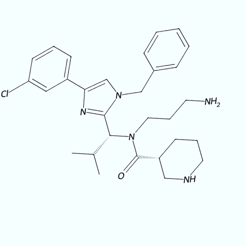 CC(C)[C@H](c1nc(-c2cccc(Cl)c2)cn1Cc1ccccc1)N(CCCN)C(=O)[C@@H]1CCCNC1